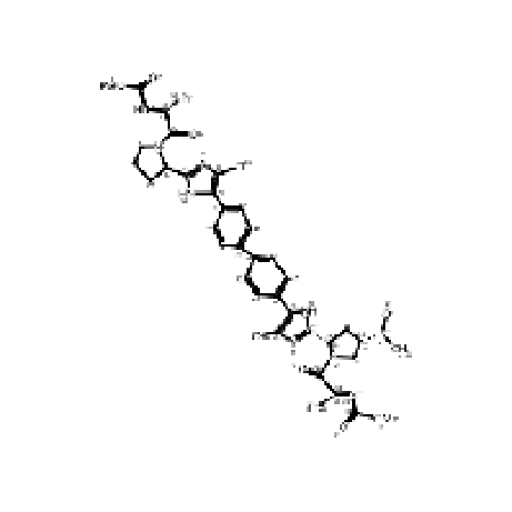 COC(=O)N[C@H](C(=O)N1CCCC1c1nc(Cl)c(-c2ccc(-c3ccc(-c4[nH]c([C@@H]5C[C@H]([S+](C)[O-])CN5C(=O)[C@@H](NC(=O)OC)C(C)C)nc4Cl)cc3)cc2)[nH]1)C(C)C